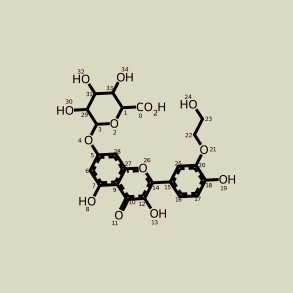 O=C(O)C1OC(Oc2cc(O)c3c(=O)c(O)c(-c4ccc(O)c(OCCO)c4)oc3c2)C(O)C(O)C1O